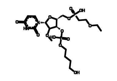 CCOCCP(=O)(O)OC[C@H]1O[C@@H](n2ccc(=O)[nH]c2=O)C(OC)[C@H]1OP(=O)(O)OCCCCO